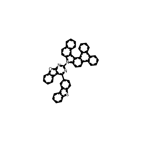 c1ccc2c(c1)ccc1c2c2c3c4ccccc4c4ccccc4c3ccc2n1-c1nc(-c2ccc3sc4ccccc4c3c2)c2c(n1)oc1ccccc12